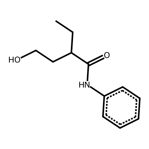 CCC(CCO)C(=O)Nc1ccccc1